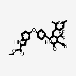 CCOC(=O)c1cc2cc(Oc3ccc(-c4[nH]c(=O)c(C#N)c(C(F)(F)F)c4Cc4ccc(C)nc4C)cc3)ccc2[nH]1